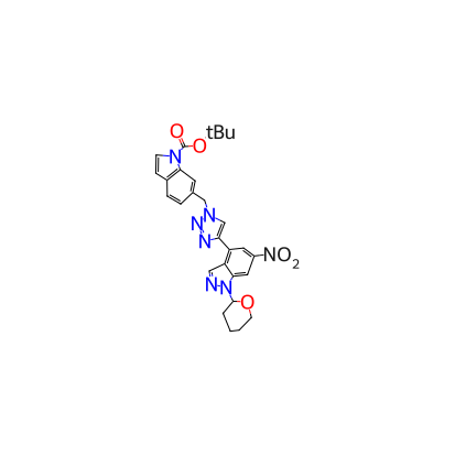 CC(C)(C)OC(=O)n1ccc2ccc(Cn3cc(-c4cc([N+](=O)[O-])cc5c4cnn5C4CCCCO4)nn3)cc21